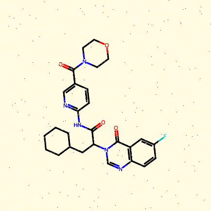 O=C(Nc1ccc(C(=O)N2CCOCC2)cn1)C(CC1CCCCC1)n1cnc2ccc(F)cc2c1=O